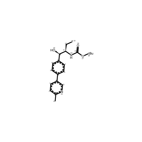 Cc1ccc(-c2ccc([C@@H](O)[C@@H](CF)NC(=O)OC(C)(C)C)cc2)cn1